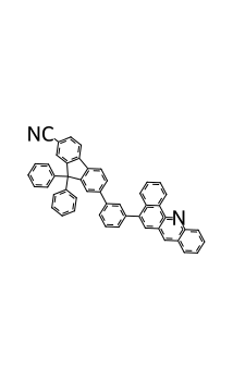 N#Cc1ccc2c(c1)C(c1ccccc1)(c1ccccc1)c1cc(-c3cccc(-c4cc5cc6ccccc6nc5c5ccccc45)c3)ccc1-2